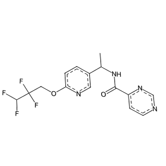 CC(NC(=O)c1ccncn1)c1ccc(OCC(F)(F)C(F)F)nc1